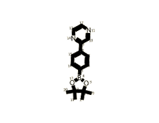 CC1(C)OB(c2ccc(-c3cnccn3)cc2)OC1(C)C